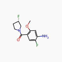 COc1cc(N)c(F)cc1C(=O)N1CC[C@H](F)C1